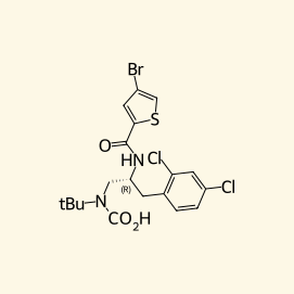 CC(C)(C)N(C[C@@H](Cc1ccc(Cl)cc1Cl)NC(=O)c1cc(Br)cs1)C(=O)O